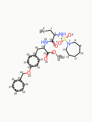 CC(C)CC(NS(=O)(=O)N1CCCCCC1)C(=O)NC(Cc1ccc(OCc2ccccc2)cc1)C(=O)OC(C)(C)C